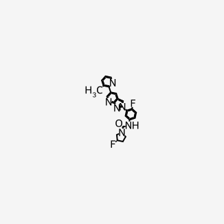 Cc1cccnc1-c1cnc2nn(-c3cc(NC(=O)N4CC[C@@H](F)C4)ccc3F)cc2c1